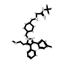 CSCCc1c(-c2ccccc2)c(-c2ccc(C)cc2)nn1CC1CCC(COCC(=O)OC(C)(C)C)CC1